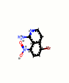 Nc1nccc2c(Br)ccc([N+](=O)[O-])c12